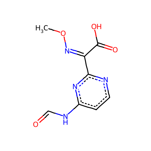 CON=C(C(=O)O)c1nccc(NC=O)n1